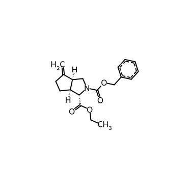 C=C1CC[C@H]2[C@@H]1CN(C(=O)OCc1ccccc1)[C@@H]2C(=O)OCC